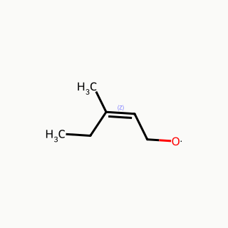 CC/C(C)=C\C[O]